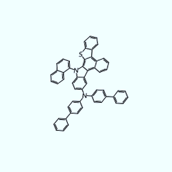 c1ccc(-c2ccc(N(c3ccc(-c4ccccc4)cc3)c3ccc4c(c3)c3c5ccccc5c5c6ccccc6sc5c3n4-c3cccc4ccccc34)cc2)cc1